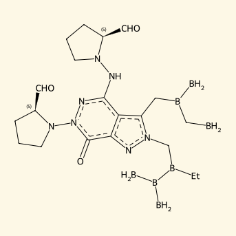 BCB(B)Cc1c2c(NN3CCC[C@H]3C=O)nn(N3CCC[C@H]3C=O)c(=O)c2nn1CB(CC)B(B)B